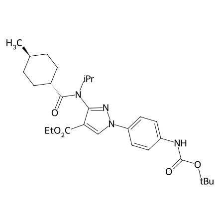 CCOC(=O)c1cn(-c2ccc(NC(=O)OC(C)(C)C)cc2)nc1N(C(=O)[C@H]1CC[C@H](C)CC1)C(C)C